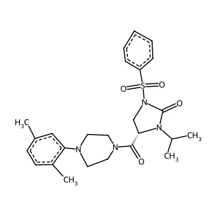 Cc1ccc(C)c(N2CCN(C(=O)[C@@H]3CN(S(=O)(=O)c4ccccc4)C(=O)N3C(C)C)CC2)c1